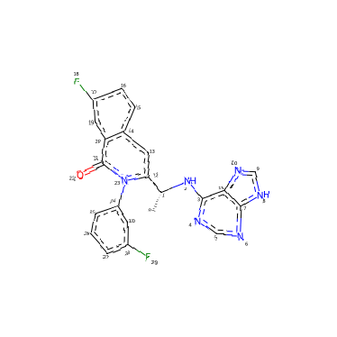 C[C@@H](Nc1ncnc2[nH]cnc12)c1cc2ccc(F)cc2c(=O)n1-c1cccc(F)c1